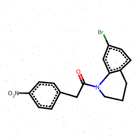 O=C(Cc1ccc([N+](=O)[O-])cc1)N1CCCc2ccc(Br)cc21